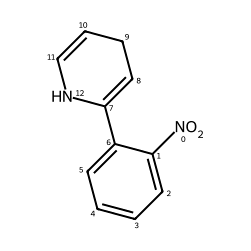 O=[N+]([O-])c1ccccc1C1=CCC=CN1